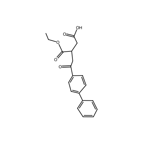 CCOC(=O)C(CC(=O)O)CC(=O)c1ccc(-c2ccccc2)cc1